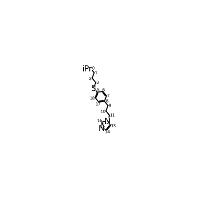 CC(C)CCCSc1ccc(CCCn2ccnc2)cc1